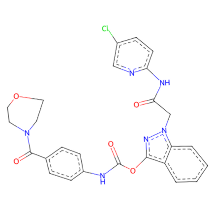 O=C(Cn1nc(OC(=O)Nc2ccc(C(=O)N3CCOCC3)cc2)c2ccccc21)Nc1ccc(Cl)cn1